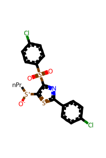 CCC[S+]([O-])c1sc(-c2ccc(Cl)cc2)nc1S(=O)(=O)c1ccc(Cl)cc1